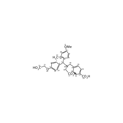 COc1ccc(C(c2ccc(OCC(=O)O)cc2)N(CC(=O)O)Cc2ccc(C(=O)O)cc2)c(C)c1